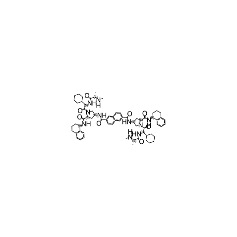 CN[C@@H](C)C(=O)N[C@H](C(=O)N1C[C@@H](NC(=O)c2ccc3cc(C(=O)N[C@H]4C[C@@H](C(=O)N[C@@H]5CCCc6ccccc65)N(C(=O)[C@@H](NC(=O)[C@H](C)NC)C5CCCCC5)C4)ccc3c2)C[C@H]1C(=O)N[C@@H]1CCCc2ccccc21)C1CCCCC1